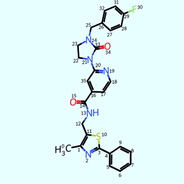 Cc1nc(-c2ccccc2)sc1CNC(=O)c1ccnc(N2CCN(Cc3ccc(F)cc3)C2=O)c1